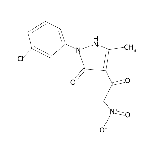 Cc1[nH]n(-c2cccc(Cl)c2)c(=O)c1C(=O)C[N+](=O)[O-]